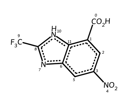 O=C(O)c1cc([N+](=O)[O-])cc2nc(C(F)(F)F)[nH]c12